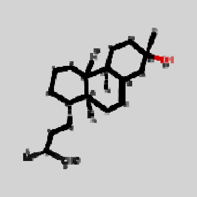 CC[C@@H](C=O)CC[C@@H]1CCC[C@H]2[C@H]1CC=C1C[C@@](C)(O)CC[C@@]12C